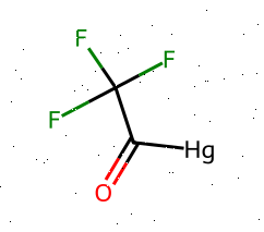 O=[C]([Hg])C(F)(F)F